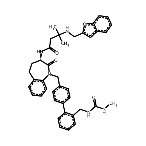 CNC(=O)NCc1ccccc1-c1ccc(CN2C(=O)[C@H](NC(=O)CC(C)(C)NCc3cc4ccccc4o3)CCc3ccccc32)cc1